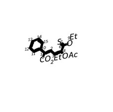 CCOC(=O)C(=CC=C(OC(C)=O)C(=S)OCC)c1ccccc1